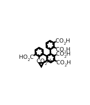 O=C(O)c1cccc(-c2c(C3CC3)cc(C(=O)O)c(C(=O)O)c2-c2cccc(C(=O)O)c2C(=O)O)c1C(=O)O